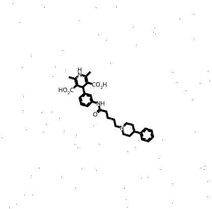 CC1=C(C(=O)O)C(c2cccc(NC(=O)CCCCN3CCC(c4ccccc4)CC3)c2)C(C(=O)O)=C(C)N1